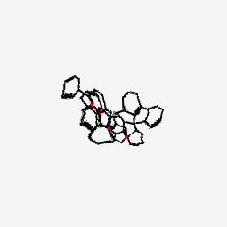 C1=CCC(C2=CCC(N(C3=C(c4ccccc4)CCC=C3)C3CCCC4=C3C3(C5C=CCCC45)C4CCC=CC4C4C5C=CCC6C7=C(C=CCC7)C(=C65)CC43)CC2)C=C1